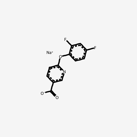 O=C([O-])c1ccc(Oc2ccc(F)cc2F)nc1.[Na+]